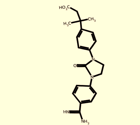 CC(C)(CC(=O)O)c1ccc(N2CCN(c3ccc(C(=N)N)cc3)C2=O)cc1